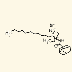 CCCCCCCCCCCC[N+](CC)(CC)NC(=O)C12CC3CC(CC(C3)C1)C2.[Br-]